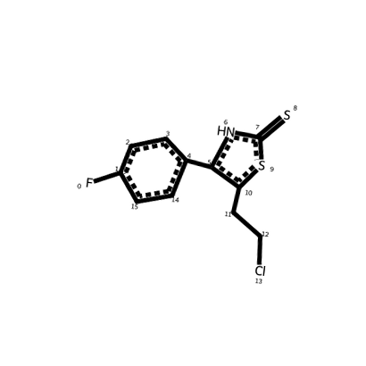 Fc1ccc(-c2[nH]c(=S)sc2CCCl)cc1